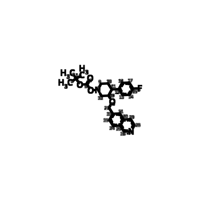 CC(C)(C)OC(=O)ON1CCC(c2ccc(F)cc2)C(OCc2ccc3cnccc3c2)C1